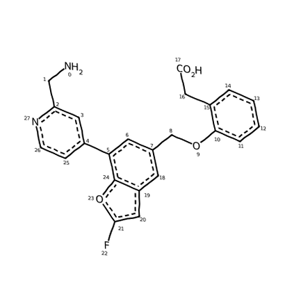 NCc1cc(-c2cc(COc3ccccc3CC(=O)O)cc3cc(F)oc23)ccn1